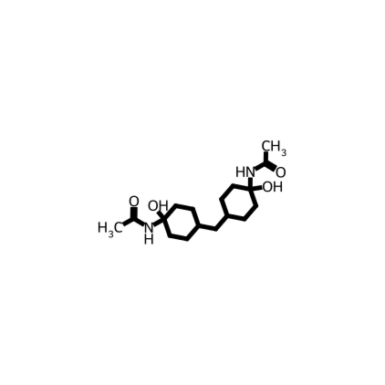 CC(=O)NC1(O)CCC(CC2CCC(O)(NC(C)=O)CC2)CC1